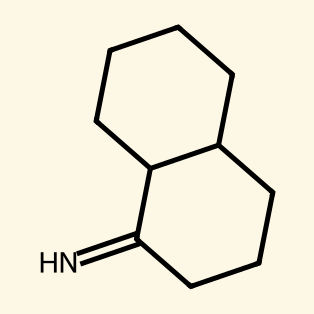 N=C1CCCC2CCCCC12